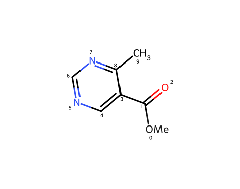 COC(=O)c1cncnc1C